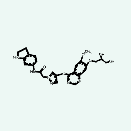 COc1cc2c(Oc3cnn(CC(=O)Nc4ccc5c(c4)NCC5)c3)ncnc2cc1OCC(O)CO